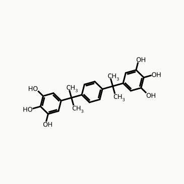 CC(C)(c1ccc(C(C)(C)c2cc(O)c(O)c(O)c2)cc1)c1cc(O)c(O)c(O)c1